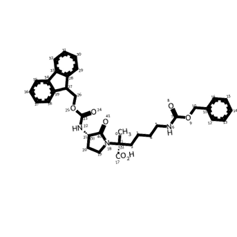 C[C@](CCCCNC(=O)OCc1ccccc1)(C(=O)O)N1CC[C@H](NC(=O)OCC2c3ccccc3-c3ccccc32)C1=O